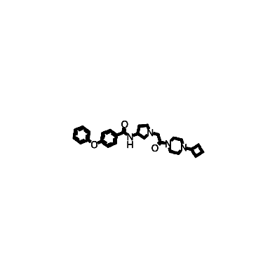 O=C(NC1CCN(CC(=O)N2CCN(C3CCC3)CC2)C1)c1ccc(Oc2ccccc2)cc1